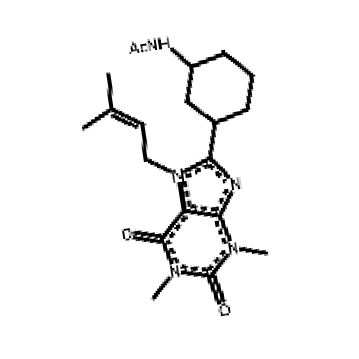 CC(=O)NC1CCCC(c2nc3c(c(=O)n(C)c(=O)n3C)n2CC=C(C)C)C1